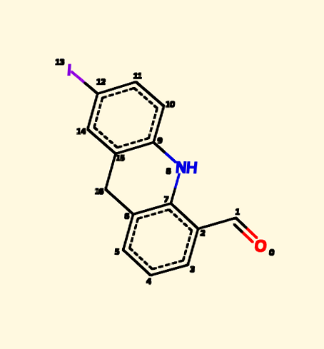 O=Cc1cccc2c1Nc1ccc(I)cc1C2